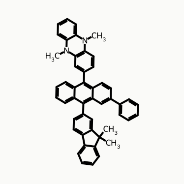 CN1c2ccccc2N(C)c2cc(-c3c4ccccc4c(-c4ccc5c(c4)C(C)(C)c4ccccc4-5)c4cc(-c5ccccc5)ccc34)ccc21